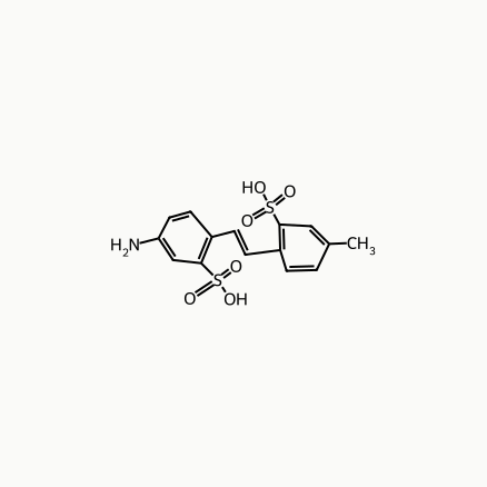 Cc1ccc(/C=C/c2ccc(N)cc2S(=O)(=O)O)c(S(=O)(=O)O)c1